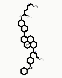 C=C/C=C(\CC1CC=C(NC2CC=CCC2)CC1)C1CCC2CCC3=C(C4=CCC5CC(NC(=C)CC/C=C\C)CCC5=C4)CCC4CCC1[C@@H]2C34